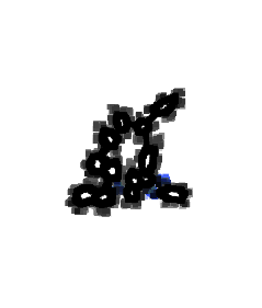 c1ccc(-c2cc(-c3ccccc3)cc(-c3ccc(-c4nc5ccccc5nc4-c4cccc5c(-n6c7ccc8ccccc8c7c7c8cccc(-c9ccccc9)c8ccc76)cccc45)cc3)c2)cc1